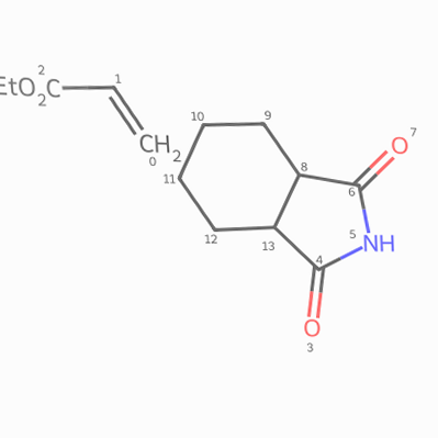 C=CC(=O)OCC.O=C1NC(=O)C2CCCCC12